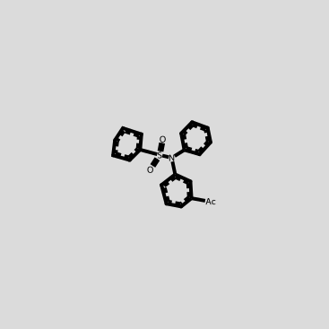 CC(=O)c1cccc(N(c2ccccc2)S(=O)(=O)c2ccccc2)c1